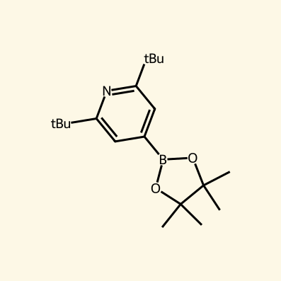 CC(C)(C)c1cc(B2OC(C)(C)C(C)(C)O2)cc(C(C)(C)C)n1